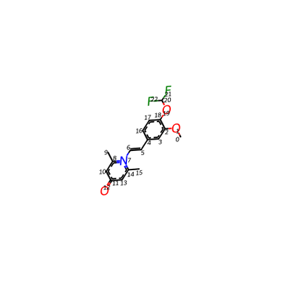 COc1cc(C=Cn2c(C)cc(=O)cc2C)ccc1OC(F)F